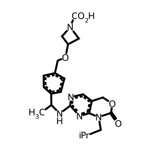 CC(C)CN1C(=O)OCc2cnc(NC(C)c3ccc(COC4CN(C(=O)O)C4)cc3)nc21